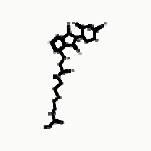 O=C(O)NCCOCCNC(=O)COc1cccc2c1C(=O)N(C1CCC(=O)NC1=O)C2=O